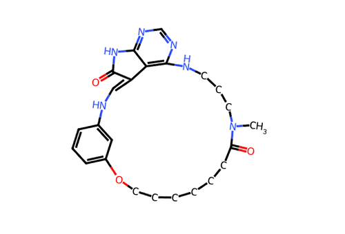 CN1CCCNc2ncnc3c2/C(=C/Nc2cccc(c2)OCCCCCCC1=O)C(=O)N3